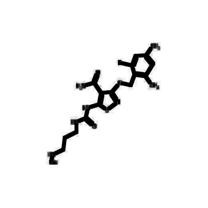 Cc1cc(C)c(COc2nsc(NC(=O)NCCCNC(C)(C)C)c2C(N)=O)c(F)c1